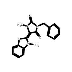 CN1C(=S)N(Cc2ccccc2)C(=O)/C1=C1/Sc2ccccc2N1C